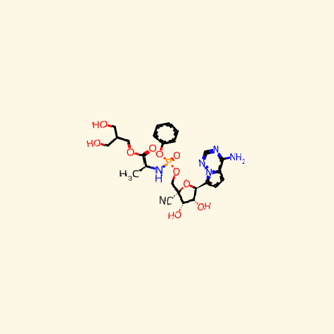 C[C@H](NP(=O)(OC[C@@]1(C#N)O[C@@H](c2ccc3c(N)ncnn23)[C@H](O)[C@@H]1O)Oc1ccccc1)C(=O)OCC(CO)CO